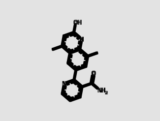 Cc1cc(O)nc2c(C)cc(-c3ncccc3C(N)=O)cc12